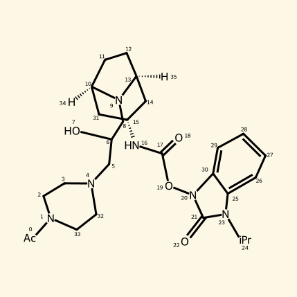 CC(=O)N1CCN(CC(O)CN2[C@@H]3CC[C@H]2C[C@H](NC(=O)On2c(=O)n(C(C)C)c4ccccc42)C3)CC1